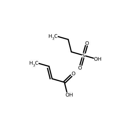 CC=CC(=O)O.CCCS(=O)(=O)O